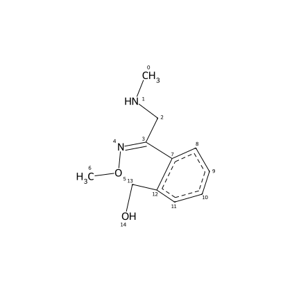 CNC/C(=N/OC)c1ccccc1CO